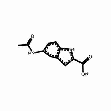 CC(=O)Nc1ccc2[se]c(C(=O)O)cc2c1